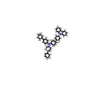 CC1(c2ccc(-n3c4ccccc4c4ccccc43)cc2)C=CC(N(C(/C=C\Cc2ccccc2)=C/I)c2ccc(-c3ccccc3)cc2)=CC1